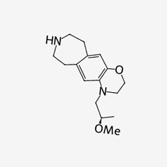 CO[C@H](C)CN1CCOc2cc3c(cc21)CCNCC3